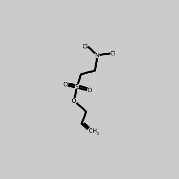 C=CCOS(=O)(=O)CCN(Cl)Cl